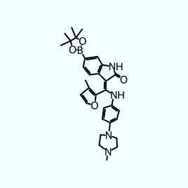 Cc1ccoc1/C(Nc1ccc(N2CCN(C)CC2)cc1)=C1/C(=O)Nc2cc(B3OC(C)(C)C(C)(C)O3)ccc21